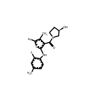 CC(=O)c1sc(Nc2ccc(C)cc2F)c(C(=O)N2CC[C@@H](O)C2)c1C